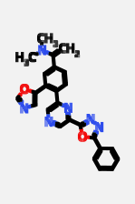 C=C(c1ccc(-c2cncc(-c3nnc(-c4ccccc4)o3)n2)c(-c2cnco2)c1)N(C)C